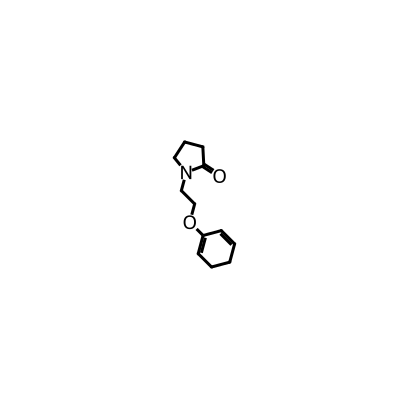 O=C1CCCN1CCOC1=CCCC=C1